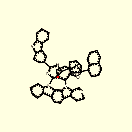 c1ccc(-c2nc(-c3ccc4sc5ccccc5c4c3)nc(-n3c4ccccc4c4ccc5c6ccccc6n(-c6cccc7nc(-c8cccc9ccccc89)oc67)c5c43)n2)cc1